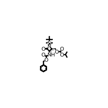 CC(C)OC(=O)OC[C@H]1[C@@H](NC(=O)OCc2ccccc2)C(=O)N1[Si](C)(C)C(C)(C)C